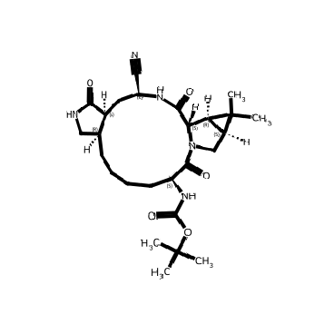 CC(C)(C)OC(=O)N[C@H]1CCCC[C@H]2CNC(=O)[C@H]2C[C@@H](C#N)NC(=O)[C@@H]2[C@@H]3[C@H](CN2C1=O)C3(C)C